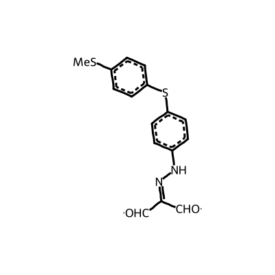 CSc1ccc(Sc2ccc(NN=C([C]=O)[C]=O)cc2)cc1